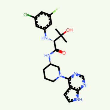 CC(C)(O)[C@@H](Nc1cc(F)cc(Cl)c1)C(=O)N[C@@H]1CCCN(c2ncnc3[nH]ccc23)C1